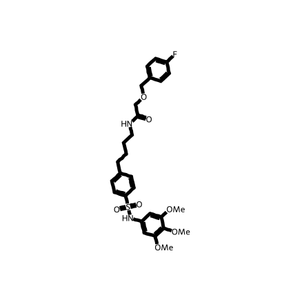 COc1cc(NS(=O)(=O)c2ccc(CCCCNC(=O)COCc3ccc(F)cc3)cc2)cc(OC)c1OC